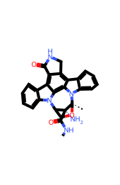 CNC(=O)[C@@]1(N)C2CO[C@]1(C)n1c3ccccc3c3c4c(c5c6ccccc6n2c5c31)C(=O)NC4